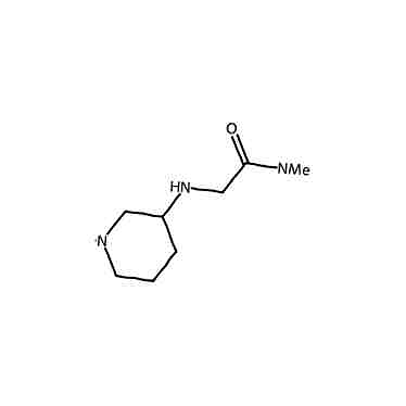 CNC(=O)CNC1CCC[N]C1